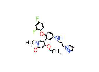 CCOc1cc(=O)n(C)cc1-c1cc(NCCCn2cccn2)ccc1Oc1ccc(F)cc1F